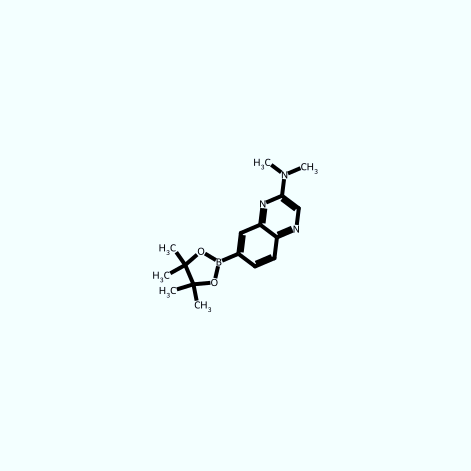 CN(C)c1cnc2ccc(B3OC(C)(C)C(C)(C)O3)cc2n1